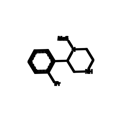 CSN1CCNCC1c1ccccc1C(C)C